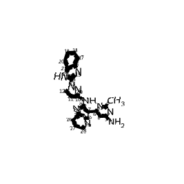 Cc1nc(N)cc(-c2c(Nc3ccn(-c4nc5ccccc5[nH]4)n3)nc3cccnn23)n1